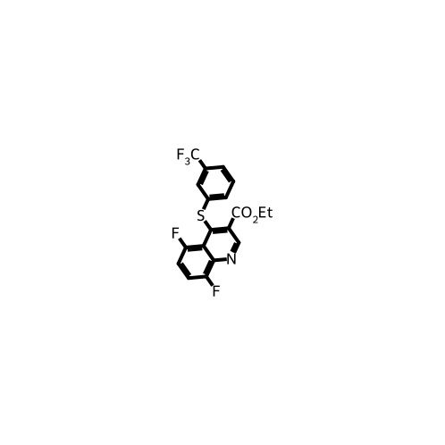 CCOC(=O)c1cnc2c(F)ccc(F)c2c1Sc1cccc(C(F)(F)F)c1